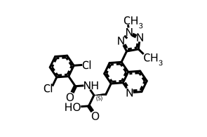 Cc1nn(C)nc1-c1ccc(C[C@H](NC(=O)c2c(Cl)cccc2Cl)C(=O)O)c2ncccc12